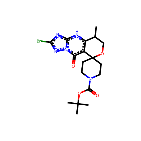 CC1COC2(CCN(C(=O)OC(C)(C)C)CC2)c2c1[nH]c1nc(Br)nn1c2=O